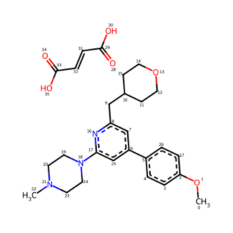 COc1ccc(-c2cc(CC3CCOCC3)nc(N3CCN(C)CC3)c2)cc1.O=C(O)C=CC(=O)O